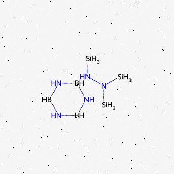 B1NBNBN1.[SiH3]NN([SiH3])[SiH3]